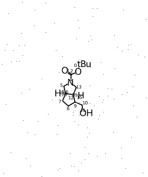 CC(C)(C)OC(=O)N1C[C@@H]2CCC(CO)[C@@H]2C1